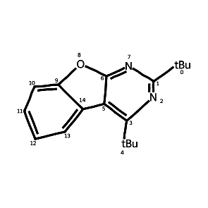 CC(C)(C)c1nc(C(C)(C)C)c2c(n1)oc1ccccc12